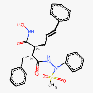 CS(=O)(=O)N(NC(=O)[C@H](Cc1ccccc1)[C@H](CC=Cc1ccccc1)C(=O)NO)c1ccccc1